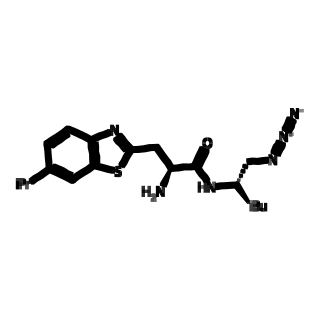 CC[C@H](C)[C@@H](CN=[N+]=[N-])NC(=O)[C@@H](N)Cc1nc2ccc(C(C)C)cc2s1